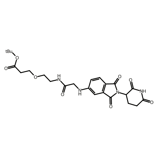 CC(C)(C)OC(=O)CCOCCNC(=O)CNc1ccc2c(c1)C(=O)N(C1CCC(=O)NC1=O)C2=O